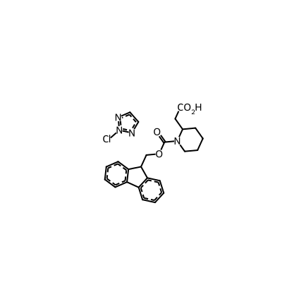 Cln1nccn1.O=C(O)CC1CCCCN1C(=O)OCC1c2ccccc2-c2ccccc21